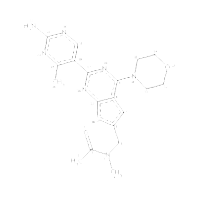 CC(=O)N(C)Cc1cc2c(N3CCOCC3)nc(-c3cnc(N)nc3C)nc2s1